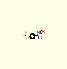 CC[C@H](N=C=O)c1ccc(OC(F)F)cc1